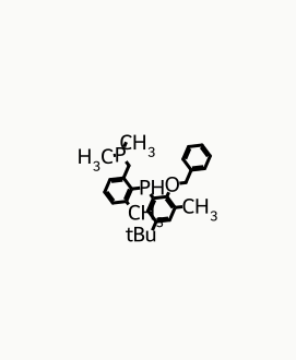 Cc1cc(C(C)(C)C)cc(Pc2c(C)cccc2CP(C)C)c1OCc1ccccc1